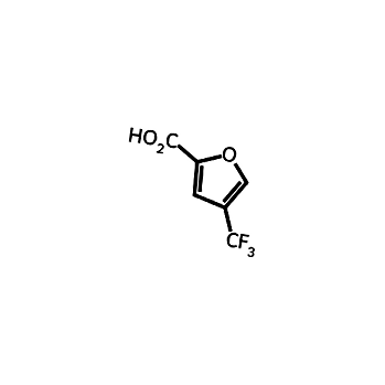 O=C(O)c1cc(C(F)(F)F)co1